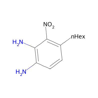 CCCCCCc1ccc(N)c(N)c1[N+](=O)[O-]